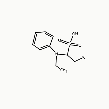 CCN(c1ccccc1)C([CH2][K])S(=O)(=O)O